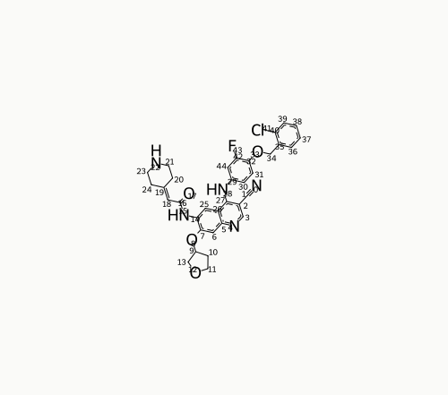 N#Cc1cnc2cc(OC3CCOC3)c(NC(=O)C=C3CCNCC3)cc2c1Nc1ccc(OCc2ccccc2Cl)c(F)c1